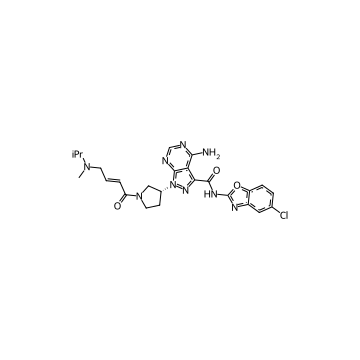 CC(C)N(C)CC=CC(=O)N1CC[C@@H](n2nc(C(=O)Nc3nc4cc(Cl)ccc4o3)c3c(N)ncnc32)C1